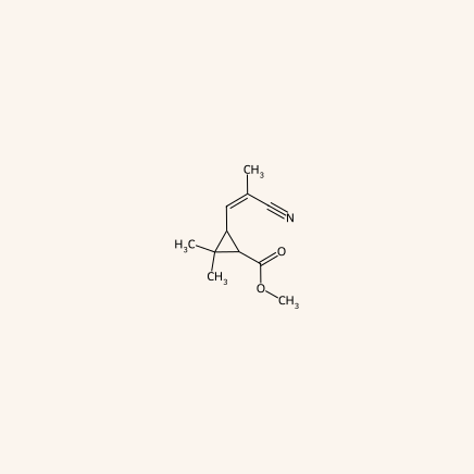 COC(=O)C1C(/C=C(/C)C#N)C1(C)C